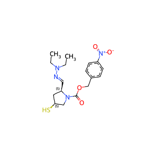 CCN(CC)N=C[C@@H]1C[C@H](S)CN1C(=O)OCc1ccc([N+](=O)[O-])cc1